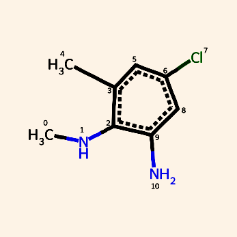 CNc1c(C)cc(Cl)cc1N